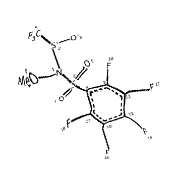 CON([S+]([O-])C(F)(F)F)S(=O)(=O)c1c(F)c(F)c(F)c(F)c1F